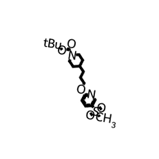 CC(C)(C)OC(=O)N1CCC(CCCOc2ccc(S(C)(=O)=O)cn2)CC1